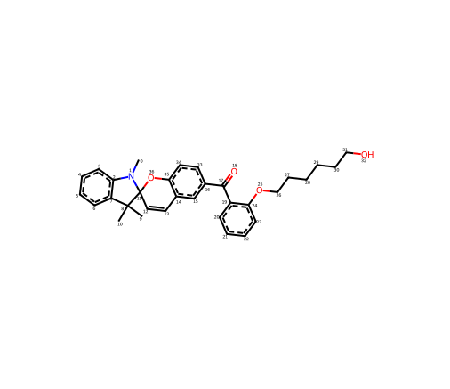 CN1c2ccccc2C(C)(C)C12C=Cc1cc(C(=O)c3ccccc3OCCCCCCO)ccc1O2